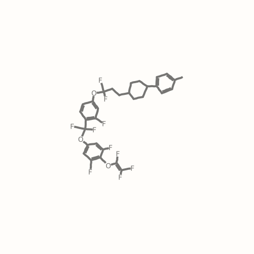 Cc1ccc(C2CCC(CCC(F)(F)Oc3ccc(C(F)(F)Oc4cc(F)c(OC(F)=C(F)F)c(F)c4)c(F)c3)CC2)cc1